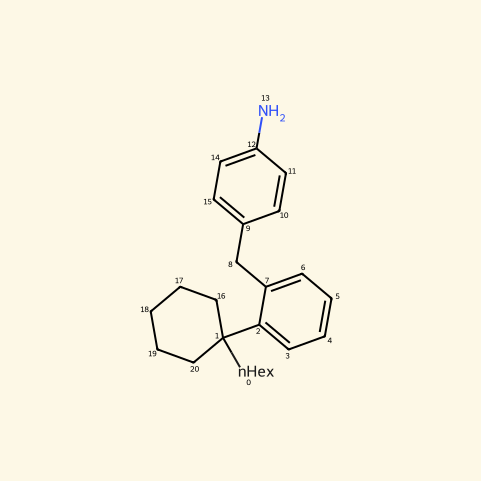 CCCCCCC1(c2ccccc2Cc2ccc(N)cc2)CCCCC1